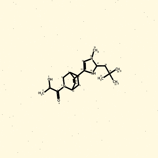 CC(O)C(=O)N1CC2CCC1C=C2C1=CN(C)C(CC(C)(C)C)N1